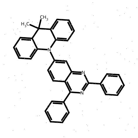 CC1(C)c2ccccc2N(c2ccc3c(-c4ccccc4)nc(-c4ccccc4)nc3c2)c2ccccc21